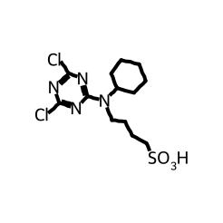 O=S(=O)(O)CCCCN(c1nc(Cl)nc(Cl)n1)C1CCCCC1